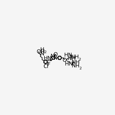 N=C(N)NCC[C@H](CNC(=N)N)OCc1ccc(-n2cc3cc(-c4cc(CCC[C@@H](N)CO)cc(Cl)c4F)[nH]c3nc2=O)cc1